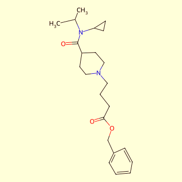 CC(C)N(C(=O)C1CCN(CCCC(=O)OCc2ccccc2)CC1)C1CC1